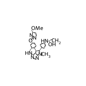 C=CC(O)Nc1ccc(-c2c3c4c(ncnc4n2C)NCc2cc(Oc4nccc(COC)n4)ccc2-3)cc1